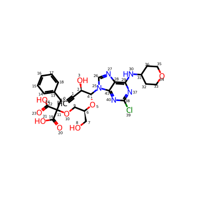 C#C[C@@H](O)[C@@H](O[C@@H](CO)COC(Cc1ccccc1)(C(=O)O)C(=O)O)n1cnc2c(NC3CCOCC3)nc(Cl)nc21